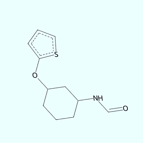 O=CNC1CCCC(Oc2cccs2)C1